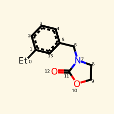 CCc1cccc(CN2CCOC2=O)c1